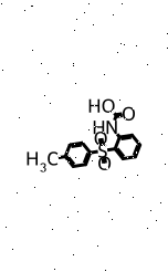 Cc1ccc(S(=O)(=O)c2ccccc2NC(=O)O)cc1